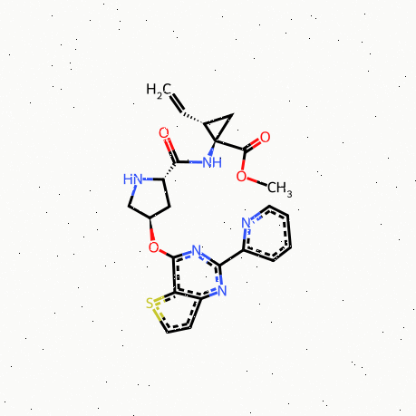 C=C[C@@H]1C[C@]1(NC(=O)[C@@H]1C[C@@H](Oc2nc(-c3ccccn3)nc3ccsc23)CN1)C(=O)OC